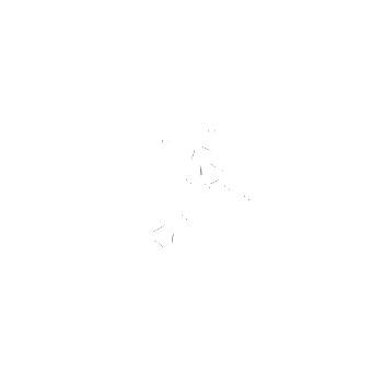 COc1cc2nc(N3CCN(C)CC3)nc(NC3CCN(Cc4ccc(C(F)(F)F)cc4)CC3)c2cc1OC